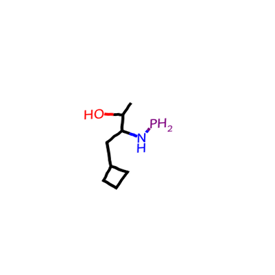 CC(O)C(CC1CCC1)NP